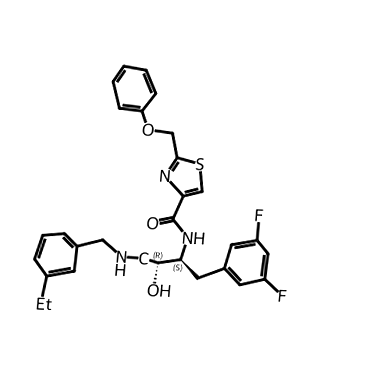 CCc1cccc(CNC[C@@H](O)[C@H](Cc2cc(F)cc(F)c2)NC(=O)c2csc(COc3ccccc3)n2)c1